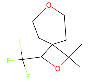 CC1(C)OC(C(F)(F)F)C12CCOCC2